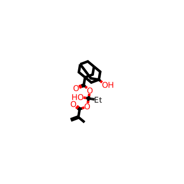 C=C(C)C(=O)OC(O)(CC)OC(=O)C12CC3CC(CC(O)(C3)C1)C2